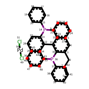 C=CCc1cc2ccccc2c(-c2c(P(c3ccccc3)c3ccccc3)ccc3ccccc23)c1P(c1ccccc1)c1ccccc1.[Cl][Pd][Cl]